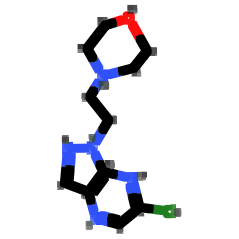 Clc1cnc2cnn(CCN3CCOCC3)c2n1